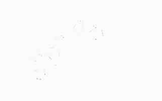 O=C(NCc1cnc(-c2ccc(OCCCOC3CCCCO3)cn2)s1)c1ccc2c(c1)NC(=O)c1ccccc1S2(=O)=O